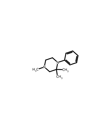 CN1CCN(c2ccccc2)C(C)(C)C1